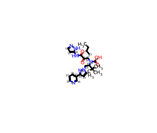 CCCC[C@@H](C(=O)C(=O)Nc1ccn[nH]1)N(C(=O)O)C(Cn1ccc(-c2cccnc2)n1)C(C)(C)C